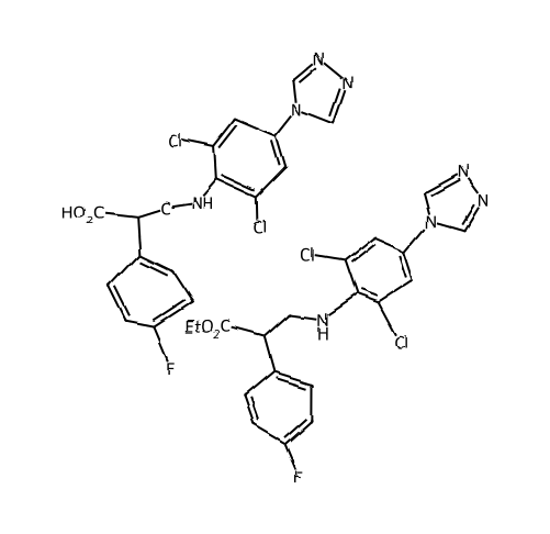 CCOC(=O)C(CNc1c(Cl)cc(-n2cnnc2)cc1Cl)c1ccc(F)cc1.O=C(O)C(CNc1c(Cl)cc(-n2cnnc2)cc1Cl)c1ccc(F)cc1